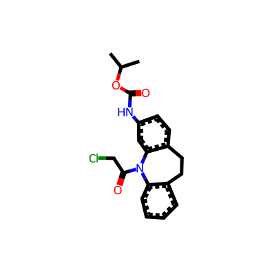 CC(C)OC(=O)Nc1ccc2c(c1)N(C(=O)CCl)c1ccccc1CC2